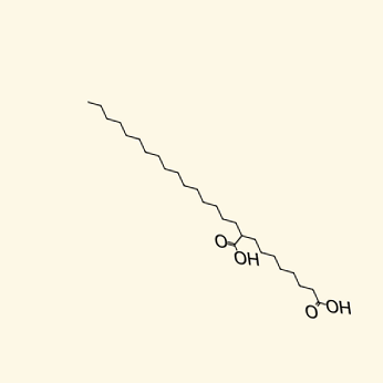 CCCCCCCCCCCCCCCCC(CCCCCCCC(=O)O)C(=O)O